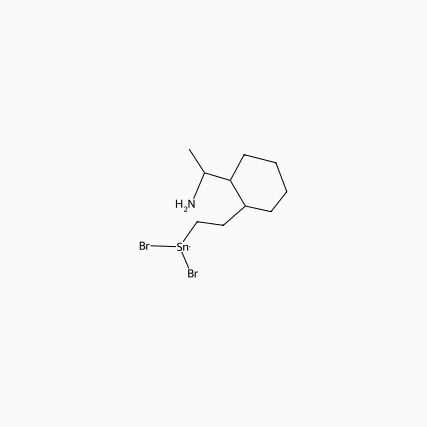 CC(N)C1CCCCC1C[CH2][Sn]([Br])[Br]